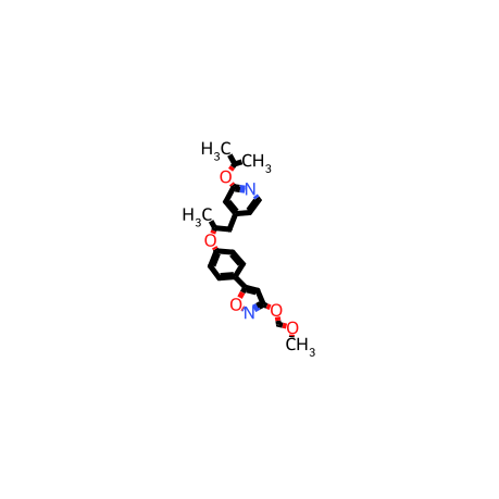 COCOc1cc(-c2ccc(OC(C)Cc3ccnc(OC(C)C)c3)cc2)on1